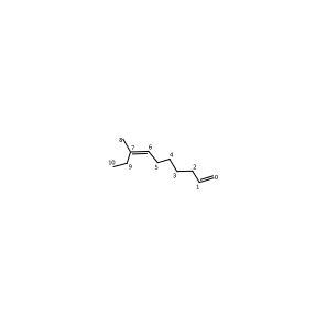 C=CCCCCC=C(C)CC